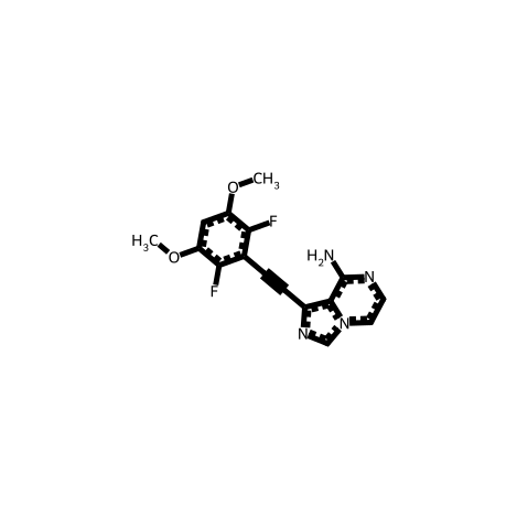 COc1cc(OC)c(F)c(C#Cc2ncn3ccnc(N)c23)c1F